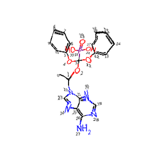 CC(OC(Oc1ccccc1)(Oc1ccccc1)P(=O)(O)O)n1cnc2c(N)ncnc21